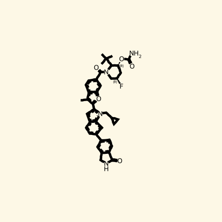 Cc1c(-c2cc3ccc(-c4ccc5c(c4)CNC5=O)cc3n2CC2CC2)oc2cc(C(=O)N3C[C@H](F)C[C@@H](OC(N)=O)C3C(C)(C)C)ccc12